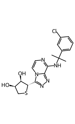 CC(C)(Nc1nccn2c([C@@H]3SC[C@@H](O)[C@H]3O)nnc12)c1cccc(Cl)c1